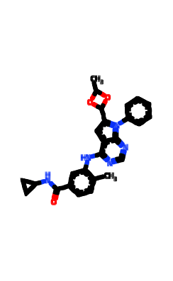 Cc1ccc(C(=O)NC2CC2)cc1Nc1ncnc2c1cc(C1OC(C)O1)n2-c1ccccc1